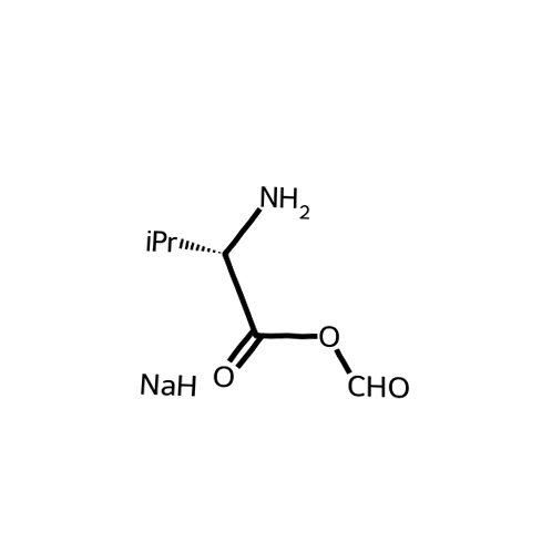 CC(C)[C@H](N)C(=O)OC=O.[NaH]